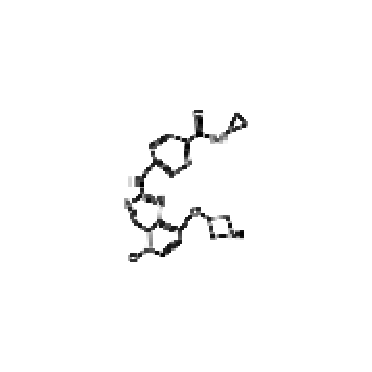 O=C(NC1CC1)c1ccc(Nc2ncc3c(Cl)ccc(OC4CNC4)c3n2)cc1